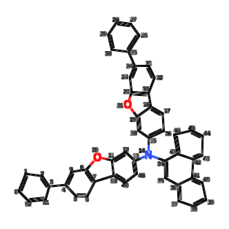 c1ccc(-c2ccc3c(c2)oc2cc(N(c4ccc5c(c4)oc4cc(-c6ccccc6)ccc45)c4cc5ccccc5c5ccccc45)ccc23)cc1